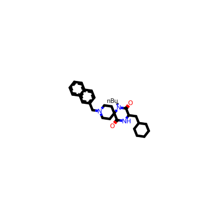 CCCCN1C(=O)C(CC2CCCCC2)NC(=O)C12CCN(Cc1ccc3ccccc3c1)CC2